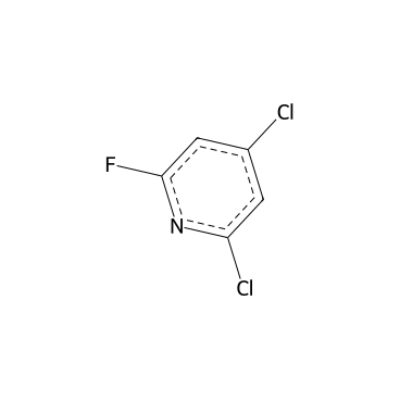 Fc1cc(Cl)cc(Cl)n1